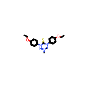 CCOc1ccc(NC(=S)Nc2ccc(OCC)cc2)cc1.CN(C)C